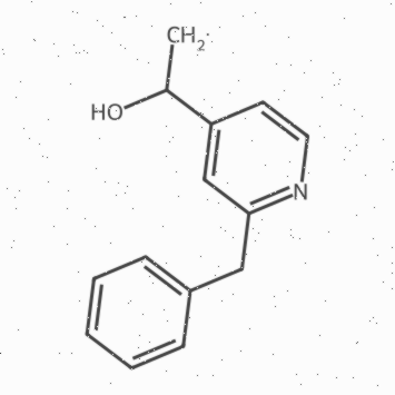 [CH2]C(O)c1ccnc(Cc2ccccc2)c1